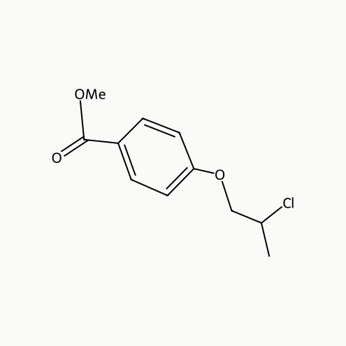 COC(=O)c1ccc(OCC(C)Cl)cc1